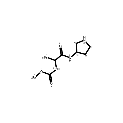 CCCC(NC(=O)OC(C)(C)C)C(=O)NC1CCNC1